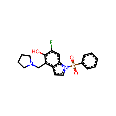 O=S(=O)(c1ccccc1)n1ccc2c(CN3CCCC3)c(O)c(F)cc21